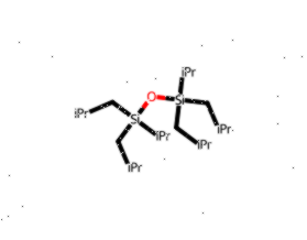 CC(C)C[Si](CC(C)C)(O[Si](CC(C)C)(CC(C)C)C(C)C)C(C)C